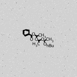 CCCCOC(C)OC(C)OC(C)OC(=O)c1ccccc1